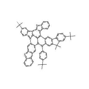 CC(C)(C)c1ccc(N2B3c4cc5c(cc4-n4c6ccc(C(C)(C)C)cc6c6c7sc8ccccc8c7c(c3c64)-c3cc4c(cc32)C(C)(C)c2cc(C(C)(C)C)ccc2-4)sc2ccccc25)cc1